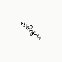 O=C(C=CC(=O)OCC=CF)OCC=CF